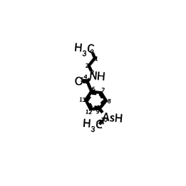 CCCNC(=O)c1ccc([AsH]C)cc1